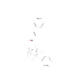 Cc1ccc(C=CC(=O)N[C@H]2C3CCN(CC3)[C@H]2Cc2cccnc2)cc1